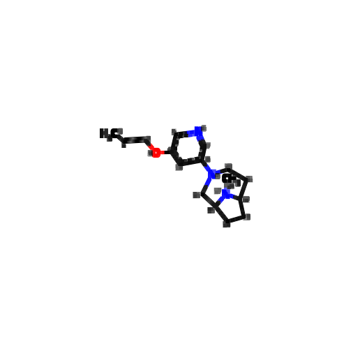 CC=COc1cncc(N2CCC3CCC(C2)N3C)c1